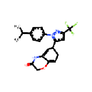 CC(C)c1ccc(-n2nc(C(F)(F)F)cc2C2C=C3NC(=O)COC3=CC2)cc1